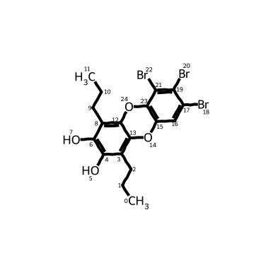 CCCc1c(O)c(O)c(CCC)c2c1Oc1cc(Br)c(Br)c(Br)c1O2